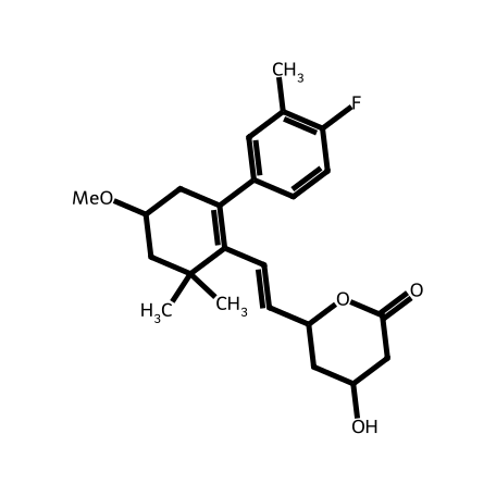 COC1CC(c2ccc(F)c(C)c2)=C(C=CC2CC(O)CC(=O)O2)C(C)(C)C1